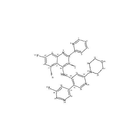 Cc1c(-c2ccccn2)nc2cc(F)cc(F)c2c1Nc1cc(N2CCOCC2)ncc1-c1cncc(F)c1